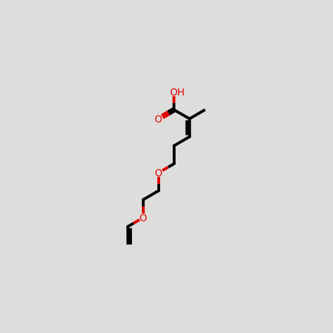 C=COCCOCCC=C(C)C(=O)O